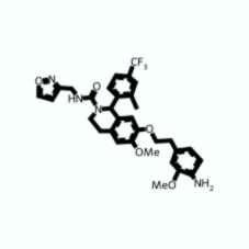 COc1cc(CCOc2cc3c(cc2OC)CCN(C(=O)NCc2ccon2)C3c2ccc(C(F)(F)F)cc2C)ccc1N